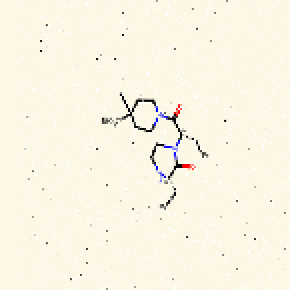 CCOC(=O)C1(C)CCN(C(=O)[C@H](CC(C)C)N2CCN[C@@H](CC(C)C)C2=O)CC1